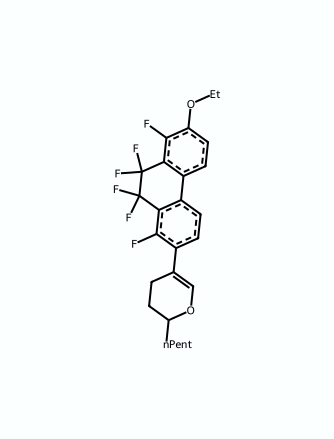 CCCCCC1CCC(c2ccc3c(c2F)C(F)(F)C(F)(F)c2c-3ccc(OCC)c2F)=CO1